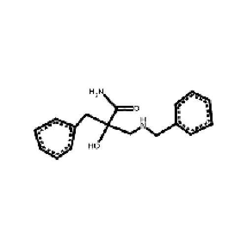 NC(=O)C(O)(CNCc1ccccc1)Cc1ccccc1